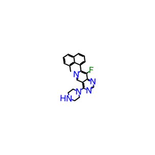 Cc1cccc2cccc(-c3ncc4c(N5CCNCC5)ncnc4c3F)c12